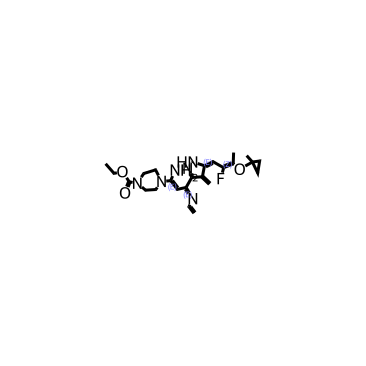 C=C/N=C(\C=C(/N)N1CCN(C(=O)OCC)CC1)c1n[nH]/c(=C/C(F)=C(\C)OC2(C)CC2)c1=C